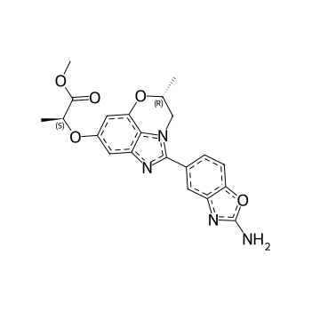 COC(=O)[C@H](C)Oc1cc2c3c(c1)nc(-c1ccc4oc(N)nc4c1)n3C[C@@H](C)O2